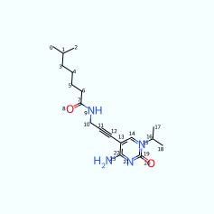 CC(C)CCCCC(=O)NCC#Cc1cn(C(C)C)c(=O)nc1N